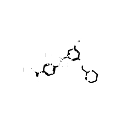 CCOc1cc(OCC2CCCCC2)cc([C@@H](Nc2ccc(C(=N)N)cc2)C(=O)O)c1